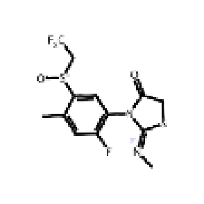 C/N=C1\SCC(=O)N1c1cc([S+]([O-])CC(F)(F)F)c(C)cc1F